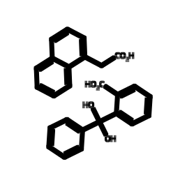 O=C(O)Cc1cccc2ccccc12.O=C(O)c1ccccc1C(O)(O)c1ccccc1